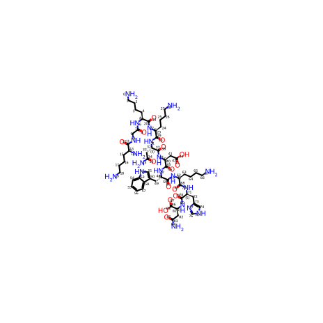 NCCCC[C@H](NC(=O)CNC(=O)[C@@H](N)CCCCN)C(=O)N[C@@H](CCCCN)C(=O)N[C@@H](CC(N)=O)C(=O)N[C@@H](CC(=O)O)C(=O)N[C@@H](Cc1c[nH]c2ccccc12)C(=O)N[C@@H](CCCCN)C(=O)N[C@@H](Cc1c[nH]cn1)C(=O)N[C@@H](CC(N)=O)C(=O)O